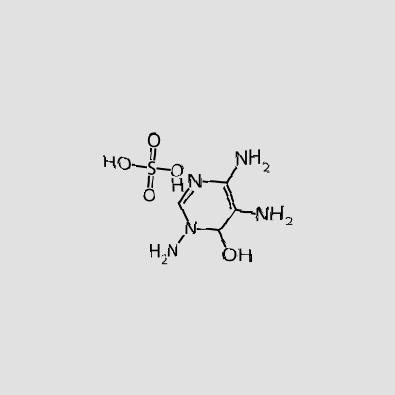 NC1=C(N)C(O)N(N)C=N1.O=S(=O)(O)O